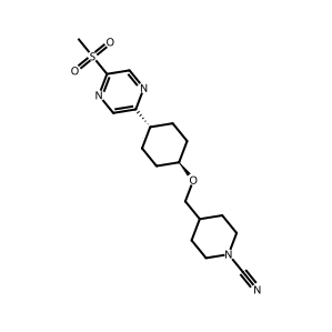 CS(=O)(=O)c1cnc([C@H]2CC[C@H](OCC3CCN(C#N)CC3)CC2)cn1